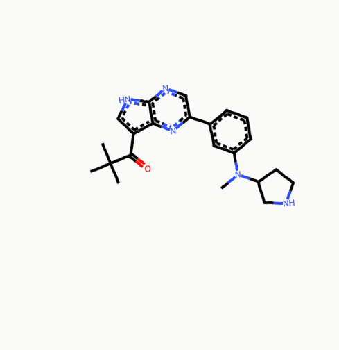 CN(c1cccc(-c2cnc3[nH]cc(C(=O)C(C)(C)C)c3n2)c1)C1CCNC1